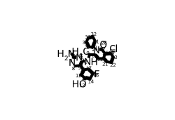 C[C@H](Nc1nc(N)ncc1-c1cc(O)cc(F)c1)c1cc2cccc(Cl)c2c(=O)n1-c1ccccc1